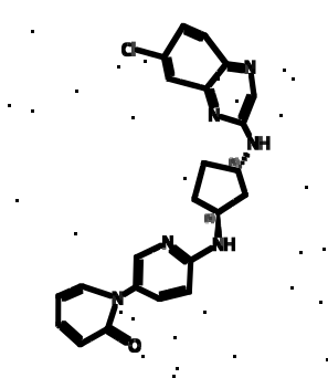 O=c1ccccn1-c1ccc(N[C@H]2CC[C@H](Nc3cnc4ccc(Cl)cc4n3)C2)nc1